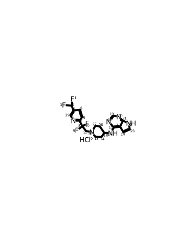 Cl.FC(F)c1ccc(C(F)(F)CN2CCC(Nc3ncnc4[nH]ccc34)CC2)nc1